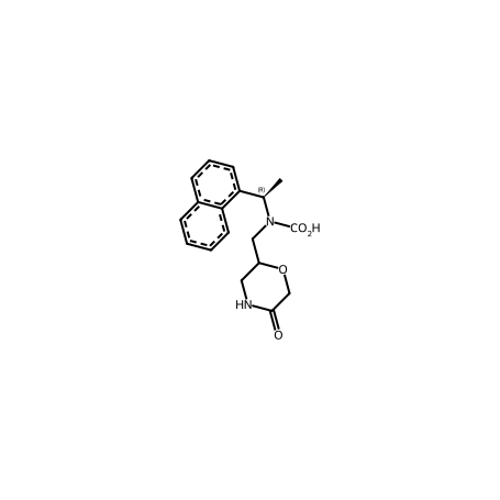 C[C@H](c1cccc2ccccc12)N(CC1CNC(=O)CO1)C(=O)O